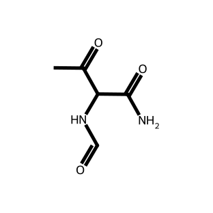 CC(=O)C(NC=O)C(N)=O